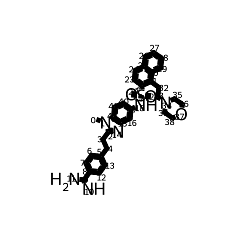 Cn1c(CCc2ccc(C(=N)N)cc2)nc2cc(NS(=O)(=O)c3ccc4ccccc4c3CCN3CCOCC3)ccc21